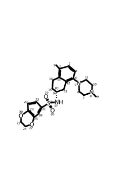 Cc1ccc(N2CCN(C)CC2)c2c1CC[C@@H](NS(=O)(=O)c1ccc3c(c1)OCCO3)C2